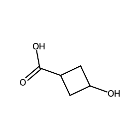 O=C(O)C1CC(O)C1